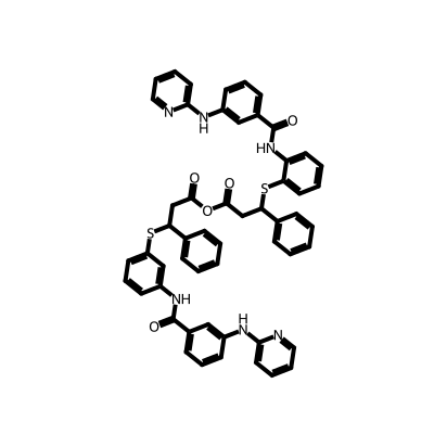 O=C(CC(Sc1cccc(NC(=O)c2cccc(Nc3ccccn3)c2)c1)c1ccccc1)OC(=O)CC(Sc1ccccc1NC(=O)c1cccc(Nc2ccccn2)c1)c1ccccc1